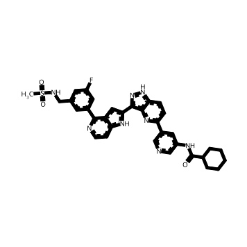 CS(=O)(=O)NCc1cc(F)cc(-c2nccc3[nH]c(-c4n[nH]c5ccc(-c6cncc(NC(=O)C7CCCCC7)c6)nc45)cc23)c1